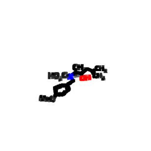 C=C(C)CC(O)[C@H](C)N(Cc1ccc(OC)cc1)C(=O)O